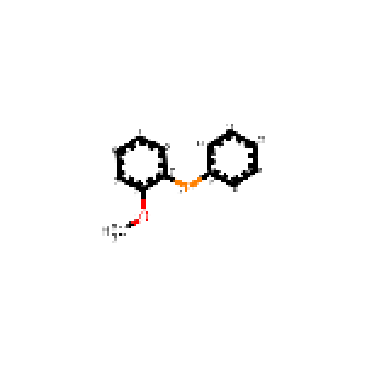 COc1ccccc1[P]c1ccccc1